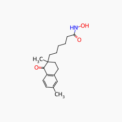 Cc1ccc2c(c1)CCC(C)(CCCCCC(=O)NO)C2=O